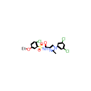 CCOc1ccc(Cl)c(S(=O)(=O)NC(=O)c2cn(-c3cc(Cl)cc(Cl)c3)c(C)n2)c1